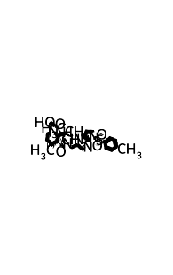 Cc1ccc(S(=O)(=O)n2ccc3nc(CNC(=O)[C@H]4C(C(C)(C)C)N(C(=O)O)CC[C@H]4C)cnc32)cc1